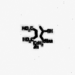 CCCCCCCCCCC(C)S.O=C(O)/C=C\C(=O)O.[CaH2].[Zn]